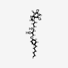 CCCCCCc1ccc(OCC(O)CNCCCn2cnc3c2c(=O)n(C)c(=O)n3C)cc1